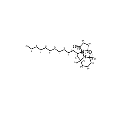 CCCCCCCCCCCC[N+]1(N2C(C)(C)CCCC2(C)C)C(=O)CCC1=O